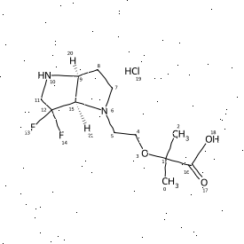 CC(C)(OCCN1CC[C@@H]2NCC(F)(F)[C@@H]21)C(=O)O.Cl